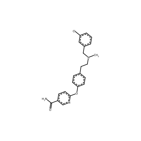 CN(CCc1ccc(Oc2ccc(C(N)=O)cn2)cc1)Cc1cccc(Cl)c1